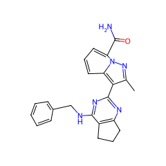 Cc1nn2c(C(N)=O)cccc2c1-c1nc2c(c(NCc3ccccc3)n1)CCC2